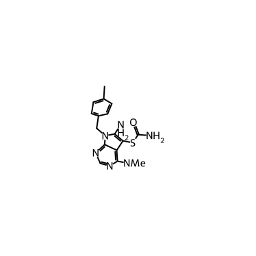 CNc1ncnc2c1c(SC(N)=O)c(N)n2Cc1ccc(C)cc1